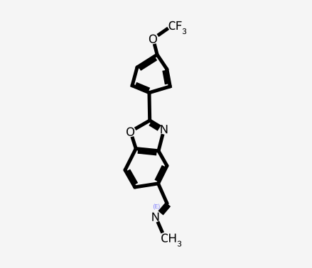 C/N=C/c1ccc2oc(-c3ccc(OC(F)(F)F)cc3)nc2c1